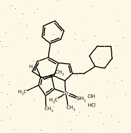 CC1=C(C)C(C)[C]([Zr]([CH3])([CH3])(=[SiH2])[CH]2C(CC3CCCCC3)=Cc3c(-c4ccccc4)cccc32)=C1C.Cl.Cl